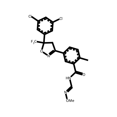 CON=CNC(=O)c1cc(C2=NOC(c3cc(Cl)cc(Cl)c3)(C(F)(F)F)C2)ccc1C